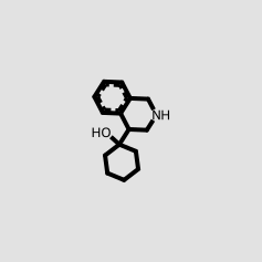 OC1(C2CNCc3ccccc32)CCCCC1